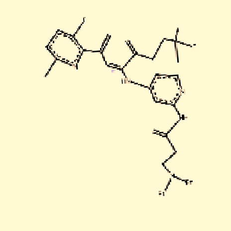 C=C(CCN(CC)CC)Nc1cc(N/C(=C/C(=C)c2nc(C)ccc2F)C(=C)CCC(C)(C)F)ccn1